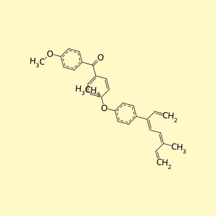 C=C/C(C)=C\C=C(/C=C)c1ccc(OC(/C=C\C(=C/C)C(=O)c2ccc(OC)cc2)=C/C)cc1